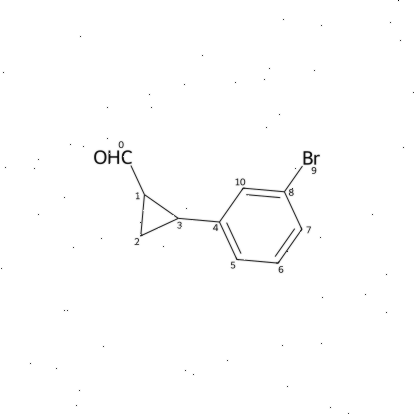 O=CC1CC1c1cccc(Br)c1